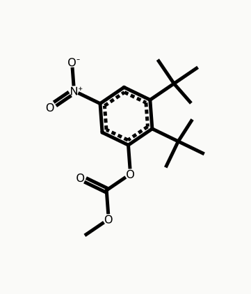 COC(=O)Oc1cc([N+](=O)[O-])cc(C(C)(C)C)c1C(C)(C)C